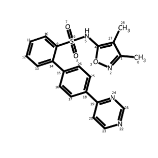 Cc1noc(NS(=O)(=O)c2ccccc2-c2ccc(-c3ccncn3)cc2)c1C